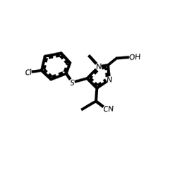 CC(C#N)c1nc(CO)n(C)c1Sc1cccc(Cl)c1